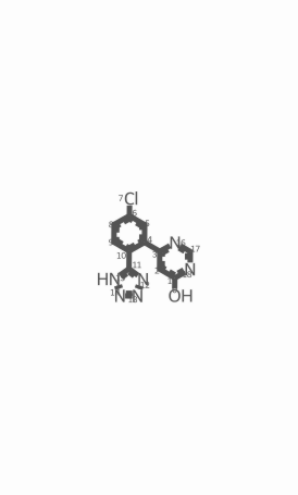 Oc1cc(-c2cc(Cl)ccc2-c2nnn[nH]2)ncn1